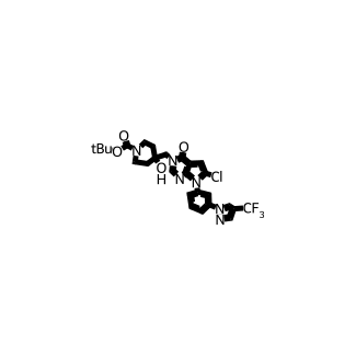 CC(C)(C)OC(=O)N1CCC(O)(Cn2cnc3c(cc(Cl)n3-c3cccc(-n4cc(C(F)(F)F)cn4)c3)c2=O)CC1